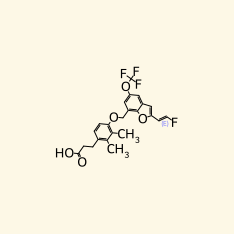 Cc1c(CCC(=O)O)ccc(OCc2cc(OC(F)(F)F)cc3cc(/C=C/F)oc23)c1C